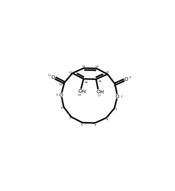 O=C1OCCCCCCOC(=O)c2ccc1c(O)c2O